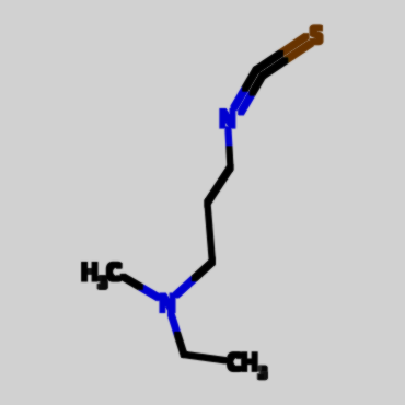 CCN(C)CCCN=C=S